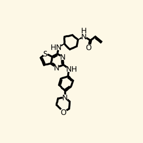 C=CC(=O)N[C@H]1CC[C@@H](Nc2nc(Nc3ccc(N4CCOCC4)cc3)nc3ccsc23)CC1